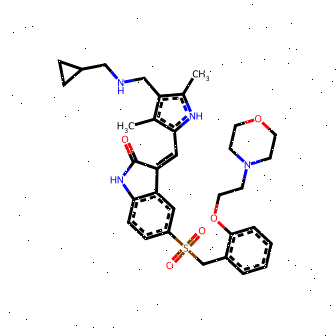 Cc1[nH]c(/C=C2\C(=O)Nc3ccc(S(=O)(=O)Cc4ccccc4OCCN4CCOCC4)cc32)c(C)c1CNCC1CC1